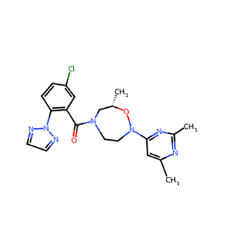 Cc1cc(N2CCN(C(=O)c3cc(Cl)ccc3-n3nccn3)C[C@H](C)O2)nc(C)n1